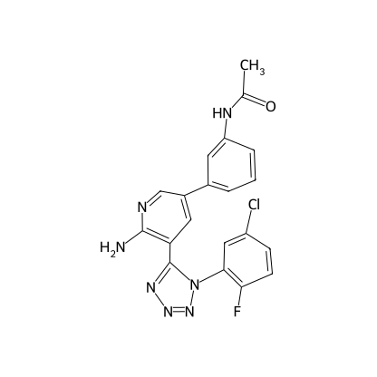 CC(=O)Nc1cccc(-c2cnc(N)c(-c3nnnn3-c3cc(Cl)ccc3F)c2)c1